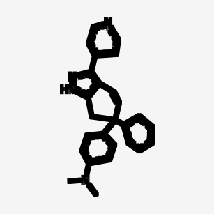 CN(C)c1ccc(C2(c3ccccc3)C=Cc3c(-c4ccncc4)n[nH]c3C2)cc1